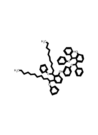 CCCCCCCCCCC(Oc1ccccc1)c1cccc(O)c1C(CCCCCCCCCC)Oc1ccccc1.Oc1cccc(C(Oc2ccccc2)c2ccccc2)c1C(Oc1ccccc1)c1ccccc1